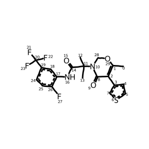 CC1=C(c2ccsc2)C(=O)N(C(C)(C)C(=O)Nc2cc(C(F)(F)F)ccc2F)CO1